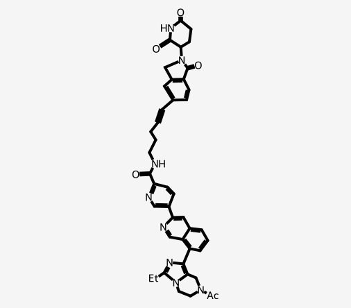 CCc1nc(-c2cccc3cc(-c4ccc(C(=O)NCCCC#Cc5ccc6c(c5)CN(C5CCC(=O)NC5=O)C6=O)nc4)ncc23)c2n1CCN(C(C)=O)C2